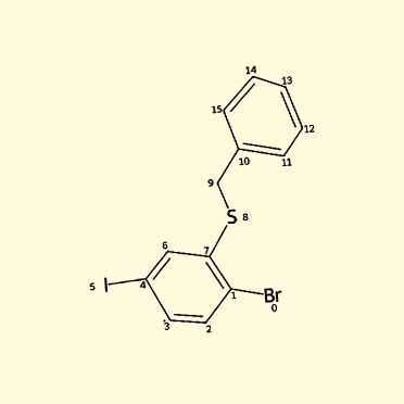 Brc1c[c]c(I)cc1SCc1ccccc1